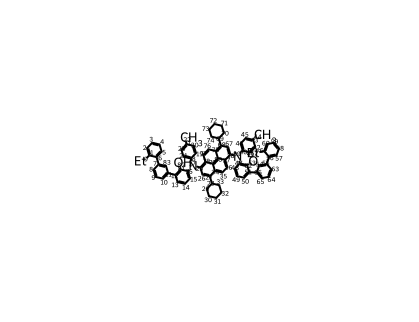 CCc1ccccc1-c1cccc(-c2cccc(N(c3ccc(C)cc3)c3cc(C4CCCCC4)c4ccc5c(N(c6ccc(C)cc6)c6cccc7c6oc6c(-c8ccccc8CC)cccc67)cc(C6CCCCC6)c6ccc3c4c65)c2O)c1